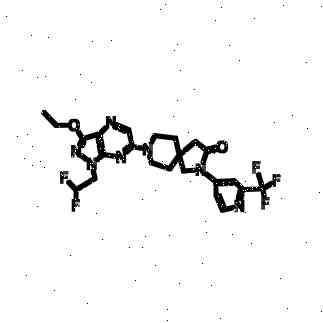 CCOc1nn(CC(F)F)c2nc(N3CCC4(CC3)CC(=O)N(c3ccnc(C(F)(F)F)c3)C4)cnc12